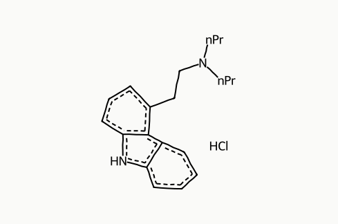 CCCN(CCC)CCc1cccc2[nH]c3ccccc3c12.Cl